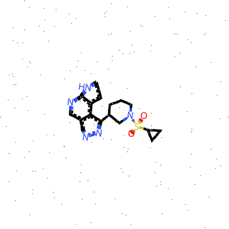 O=S(=O)(C1CC1)N1CCCC(c2nncc3cnc4[nH]ccc4c23)C1